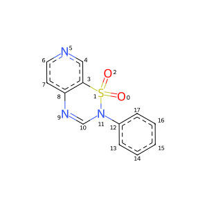 O=S1(=O)c2cnccc2N=CN1c1ccccc1